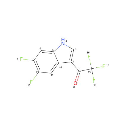 O=C(c1c[nH]c2cc(F)c(F)cc12)C(F)(F)F